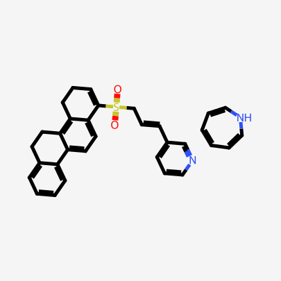 C1=CC=CNC=C1.O=S(=O)(CC=Cc1cccnc1)C1=CCCc2c1ccc1c2CCc2ccccc2-1